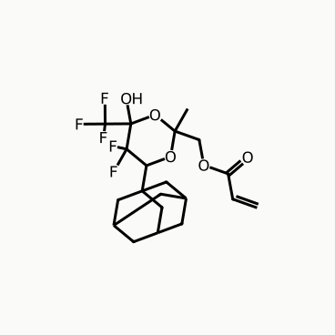 C=CC(=O)OCC1(C)OC(C23CC4CC(CC(C4)C2)C3)C(F)(F)C(O)(C(F)(F)F)O1